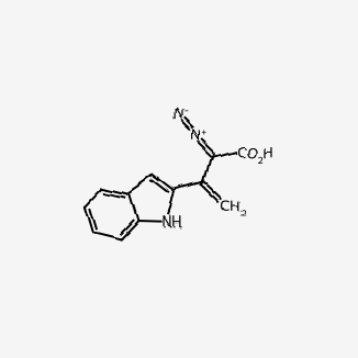 C=C(C(=[N+]=[N-])C(=O)O)c1cc2ccccc2[nH]1